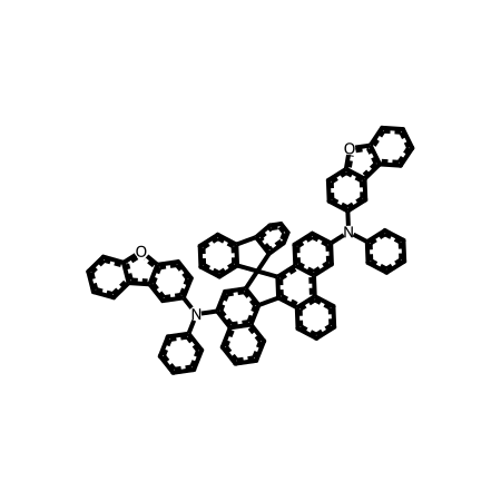 c1ccc(N(c2ccc3oc4ccccc4c3c2)c2ccc3c4c(c5ccccc5c3c2)-c2c(cc(N(c3ccccc3)c3ccc5oc6ccccc6c5c3)c3ccccc23)C42c3ccccc3-c3ccccc32)cc1